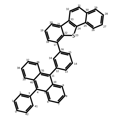 c1ccc(-c2c3ccccc3c(-c3cccc(-c4cccc5c4sc4c6ccccc6ccc54)c3)c3ccccc23)cc1